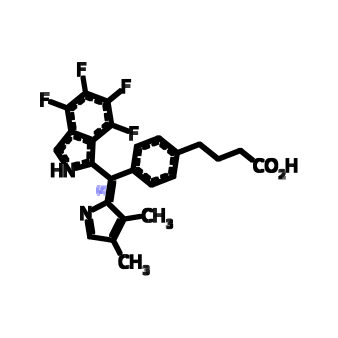 CC1=C(C)/C(=C(\c2ccc(CCCC(=O)O)cc2)c2[nH]cc3c(F)c(F)c(F)c(F)c23)N=C1